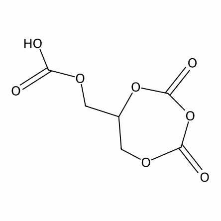 O=C(O)OCC1COC(=O)OC(=O)O1